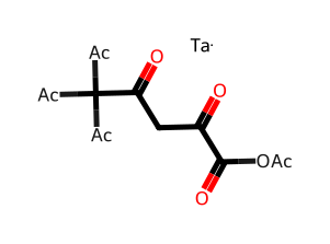 CC(=O)OC(=O)C(=O)CC(=O)C(C(C)=O)(C(C)=O)C(C)=O.[Ta]